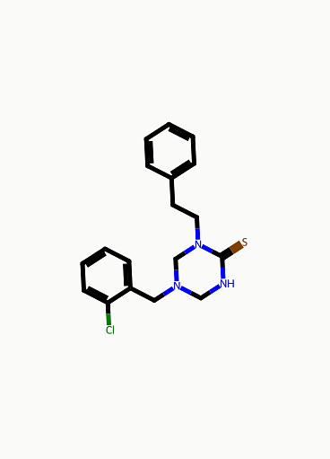 S=C1NCN(Cc2ccccc2Cl)CN1CCc1ccccc1